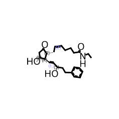 CCNC(=O)CCC/C=C\C[C@H]1C(=O)C[C@@H](O)[C@@H]1/C=C/[C@@H](O)CCc1ccccc1